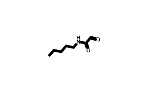 CCCCCNC(=O)C=O